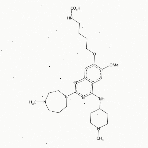 COc1cc2c(NC3CCN(C)CC3)nc(N3CCCN(C)CC3)nc2cc1OCCCCNC(=O)O